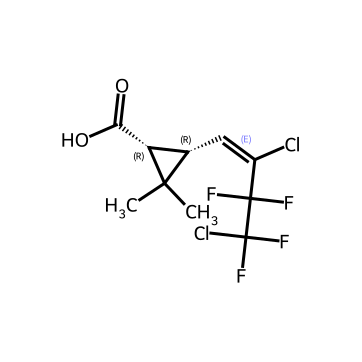 CC1(C)[C@H](C(=O)O)[C@@H]1/C=C(/Cl)C(F)(F)C(F)(F)Cl